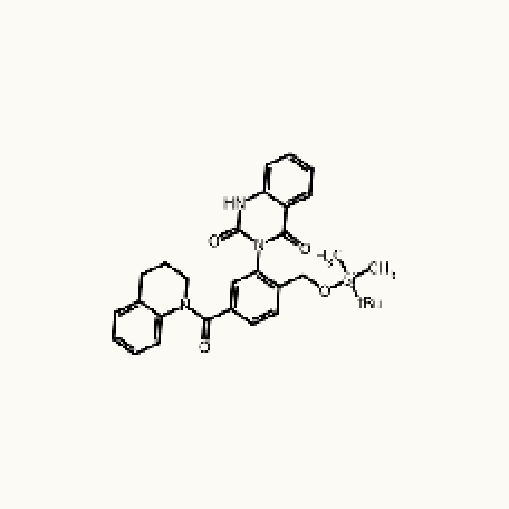 CC(C)(C)[Si](C)(C)OCc1ccc(C(=O)N2CCCc3ccccc32)cc1-n1c(=O)[nH]c2ccccc2c1=O